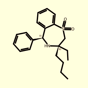 CCCC[C@]1(CC)CS(=O)(=O)c2ccccc2[C@H](c2ccccc2)N1